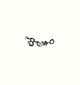 C[C@@H]1CN(c2ccc(C#N)c3ncccc23)C[C@H](Cn2cc(C3CCCCC3)nn2)O1